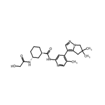 Cc1cnc(NC(=O)[C@@H]2CCC[C@@H](NC(=O)CO)C2)cc1-c1cnn2c1CC(C)(C)C2